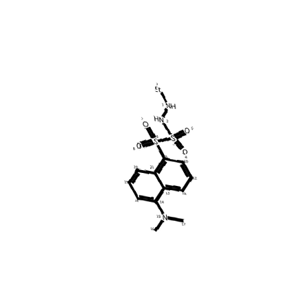 CCNNS(=O)(=O)S(=O)(=O)c1cccc2c(N(C)C)cccc12